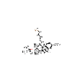 C=CC12CCc3cc(OC)ccc3[C@H]1[C@@H](CCCCCBr)C[C@]1(C)[C@@H](O[Si](C)(C)C(C)(C)C)CC[C@@H]21